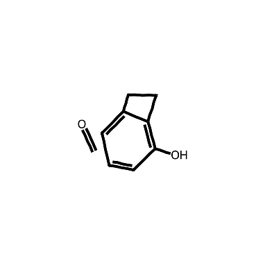 C=O.Oc1cccc2c1CC2